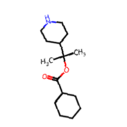 CC(C)(OC(=O)C1CCCCC1)C1CCNCC1